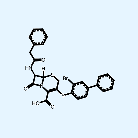 O=C(Cc1ccccc1)N[C@@H]1C(=O)N2C(C(=O)O)=C(Sc3ccc(-c4ccccc4)cc3Br)CS[C@@H]12